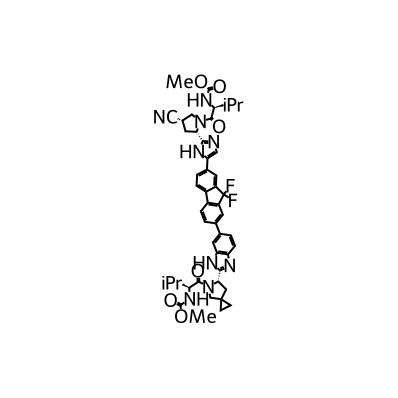 COC(=O)N[C@H](C(=O)N1C[C@@H](C#N)C[C@H]1c1ncc(-c2ccc3c(c2)C(F)(F)c2cc(-c4ccc5nc([C@@H]6CC7(CC7)CN6C(=O)[C@@H](NC(=O)OC)C(C)C)[nH]c5c4)ccc2-3)[nH]1)C(C)C